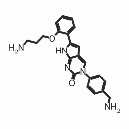 NCCCOc1ccccc1-c1cc2cn(-c3ccc(CN)cc3)c(=O)nc2[nH]1